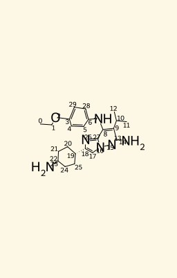 CCOc1ccc(Nc2c(C(C)C)c(N)nn3cc([C@H]4CC[C@H](N)CC4)nc23)cc1